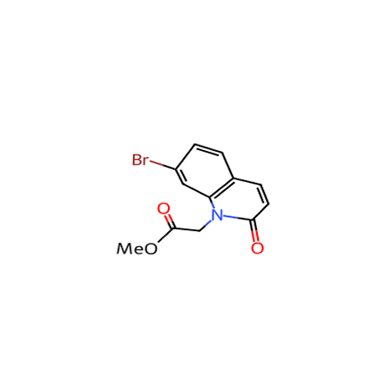 COC(=O)Cn1c(=O)ccc2ccc(Br)cc21